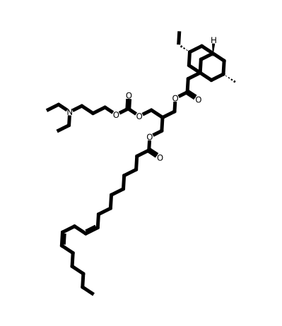 CCCCC/C=C\C/C=C\CCCCCCCC(=O)OCC(COC(=O)CC12C[C@@H](C)C[C@@H](C[C@@H](CC)C1)C2)COC(=O)OCCCN(CC)CC